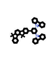 CC1(C)c2ccccc2-c2c1ccc1c2C(C)(C)c2cc(-c3cc(-n4c5ccccc5c5ccccc54)cc(-n4c5ccccc5c5ccccc54)c3)ccc2-1